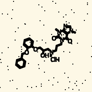 CN(CCCn1c(=O)c2c(ncn2C)n(C)c1=O)CC(O)COc1ccccc1OCc1ccccc1.Cl